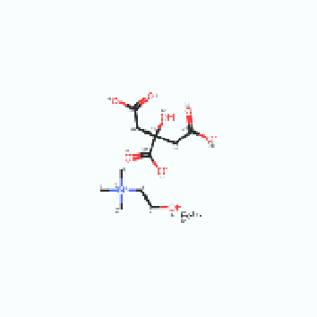 C[N+](C)(C)CCO.O=C([O-])CC(O)(CC(=O)[O-])C(=O)[O-].[Fe+3]